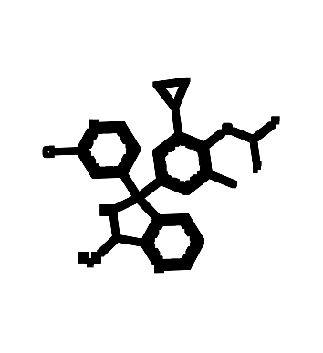 Cc1cc(C2(c3ccnc(Cl)c3)NC(N)c3ncccc32)cc(C2CC2)c1OC(F)F